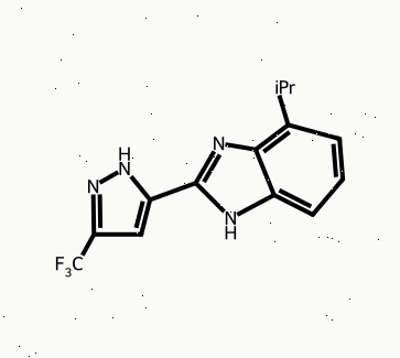 CC(C)c1cccc2[nH]c(-c3cc(C(F)(F)F)n[nH]3)nc12